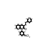 O=c1c(CCc2cccnc2)cc2cccnc2n1-c1cccc([N+](=O)[O-])c1